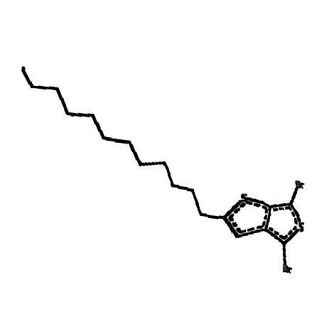 CCCCCCCCCCCCc1cc2c(Br)sc(Br)c2s1